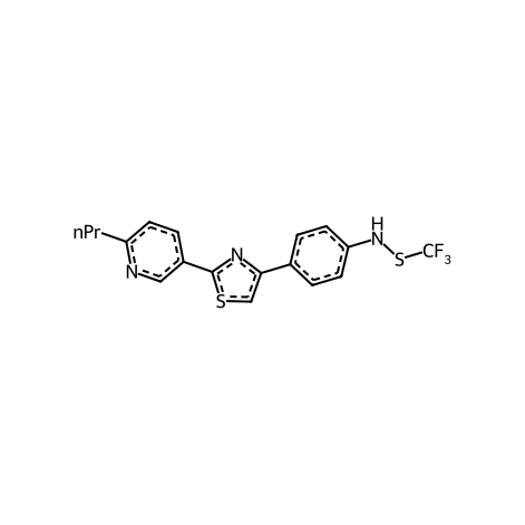 CCCc1ccc(-c2nc(-c3ccc(NSC(F)(F)F)cc3)cs2)cn1